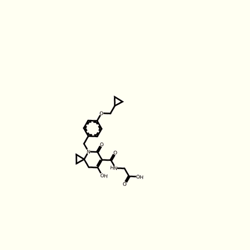 O=C(O)CNC(=O)C1=C(O)CC2(CC2)N(Cc2ccc(OCC3CC3)cc2)C1=O